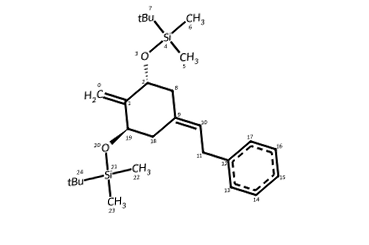 C=C1[C@H](O[Si](C)(C)C(C)(C)C)CC(=CCc2ccccc2)C[C@H]1O[Si](C)(C)C(C)(C)C